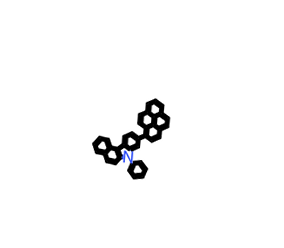 c1ccc(-n2c3cc(-c4ccc5ccc6cccc7ccc4c5c67)ccc3c3c4ccccc4ccc32)cc1